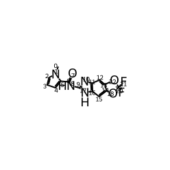 Cn1cccc1C(=O)Nc1nc2cc3c(cc2[nH]1)OC(F)(F)O3